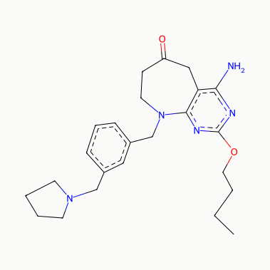 CCCCOc1nc(N)c2c(n1)N(Cc1cccc(CN3CCCC3)c1)CCC(=O)C2